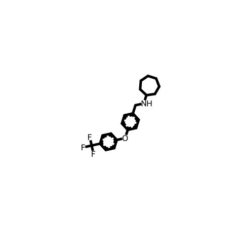 FC(F)(F)c1ccc(Oc2ccc(CNC3CCCCCC3)cc2)cc1